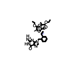 CCOC(=O)C(C)NP(=O)(/C=C/c1ccccc1Cn1cnc2c(=O)[nH]c(N)nc21)O[C@@H](C)C(=O)OCC